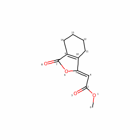 COC(=O)C=C1OC(=O)C2=C1CCCC2